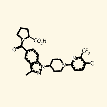 Cc1nn(C2CCN(c3ccc(Cl)c(C(F)(F)F)n3)CC2)c2ccc(C(=O)N3CCC[C@H]3C(=O)O)cc12